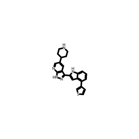 c1cc(-c2ccsc2)c2cc(-c3n[nH]c4ncc(C5CCNCC5)cc34)[nH]c2c1